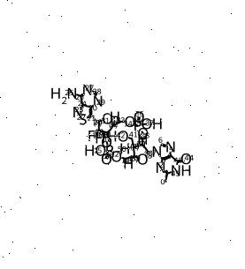 Cc1nc2c(ncn2[C@@H]2O[C@@H]3COP(=O)(O)O[C@H]4[C@H](F)[C@H](c5snc6c(N)ncnc56)O[C@@H]4COP(=O)(O)O[C@@H]2[C@@H]3CO)c(=O)[nH]1